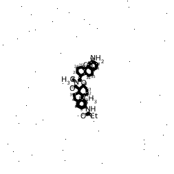 CCC(=O)Nc1ccc2c(c1)C1(C)CCCC(C(=O)N(C)C(=O)C3CCCC4(C)c5cc(N)ccc5CCC34)C1CC2